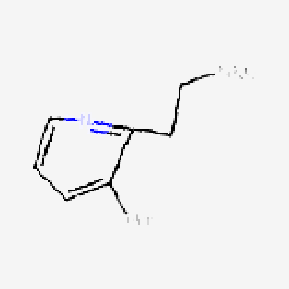 CCCc1cccnc1CCNC